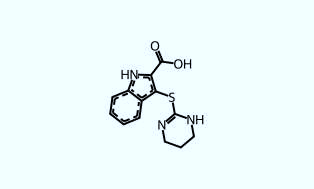 O=C(O)c1[nH]c2ccccc2c1SC1=NCCCN1